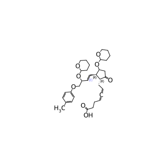 Cc1ccc(OCC(/C=C/[C@H]2C(OC3CCCCO3)CC(=O)[C@@H]2CC=C=CCCC(=O)O)OC2CCCCO2)cc1